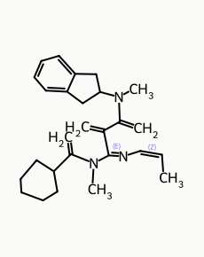 C=C(C(=C)N(C)C1Cc2ccccc2C1)/C(=N\C=C/C)N(C)C(=C)C1CCCCC1